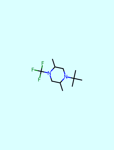 CC1CN(C(F)(F)F)C(C)CN1C(C)(C)C